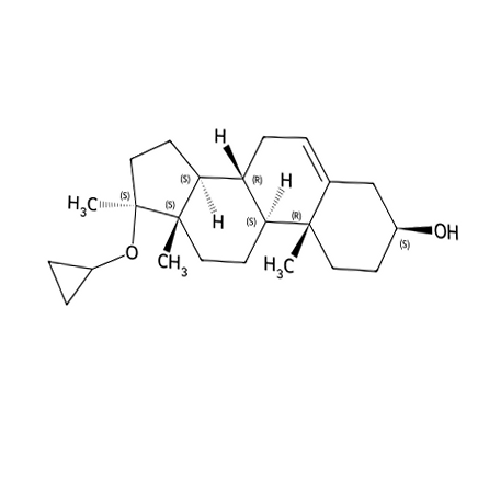 C[C@]12CC[C@H](O)CC1=CC[C@@H]1[C@@H]2CC[C@@]2(C)[C@H]1CC[C@]2(C)OC1CC1